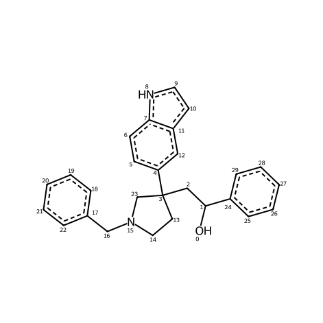 OC(CC1(c2ccc3[nH]ccc3c2)CCN(Cc2ccccc2)C1)c1ccccc1